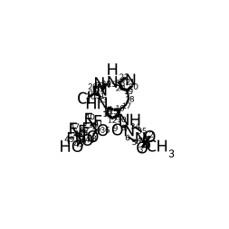 CS(=O)(=O)N1CCN(C(=O)Nc2ccc3cc2CCc2cncc(c2)Nc2ncc(Cl)c(n2)N3)CC1.O=C(O)C(F)(F)F.O=C(O)C(F)(F)F